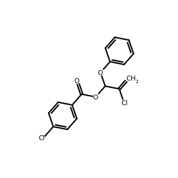 C=C(Cl)C(OC(=O)c1ccc(Cl)cc1)Oc1ccccc1